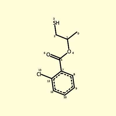 CC(CS)OC(=O)c1ccccc1Cl